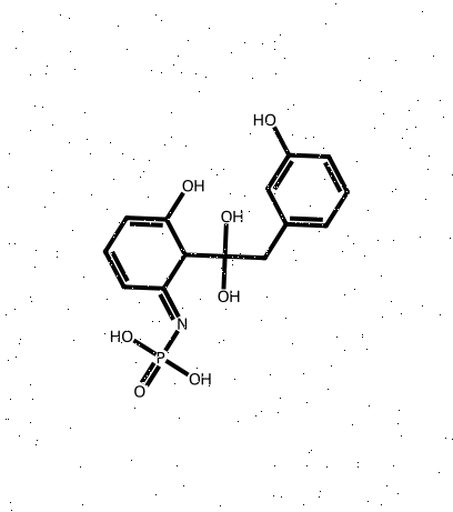 O=P(O)(O)N=C1C=CC=C(O)C1C(O)(O)Cc1cccc(O)c1